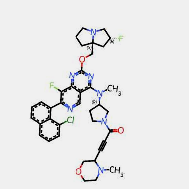 CN1CCOCC1C#CC(=O)N1CC[C@@H](N(C)c2nc(OC[C@@]34CCCN3C[C@H](F)C4)nc3c(F)c(-c4cccc5cccc(Cl)c45)ncc23)C1